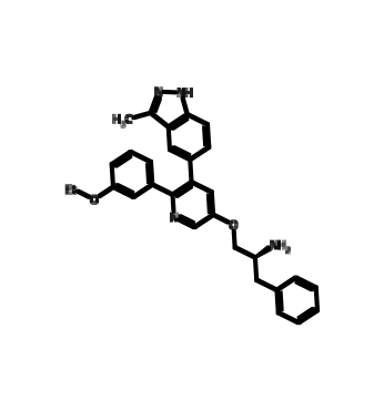 CCOc1cccc(-c2ncc(OC[C@@H](N)Cc3ccccc3)cc2-c2ccc3[nH]nc(C)c3c2)c1